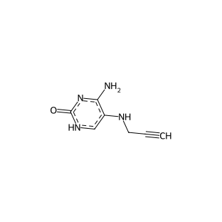 C#CCNc1c[nH]c(=O)nc1N